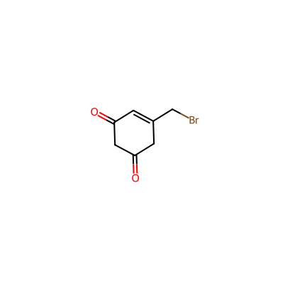 O=C1C=C(CBr)CC(=O)C1